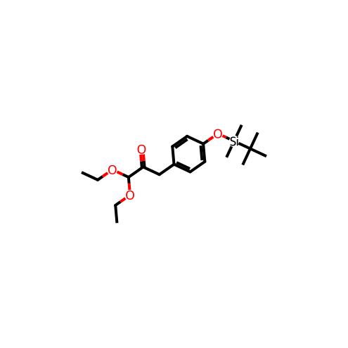 CCOC(OCC)C(=O)Cc1ccc(O[Si](C)(C)C(C)(C)C)cc1